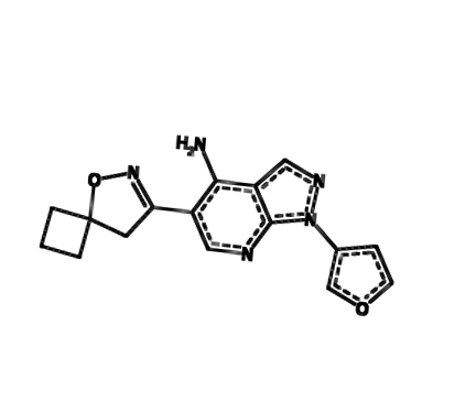 Nc1c(C2=NOC3(CCC3)C2)cnc2c1cnn2-c1ccoc1